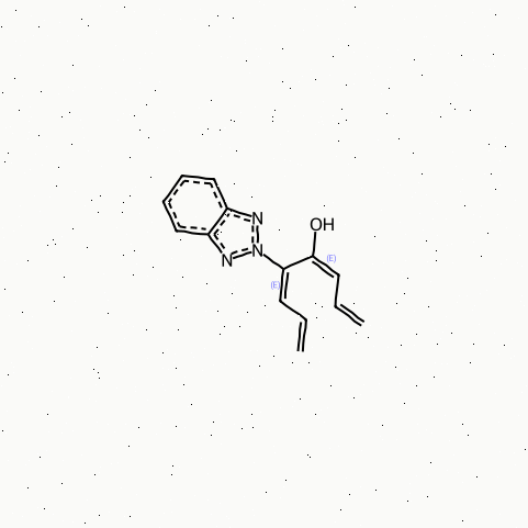 C=C/C=C(O)\C(=C/C=C)n1nc2ccccc2n1